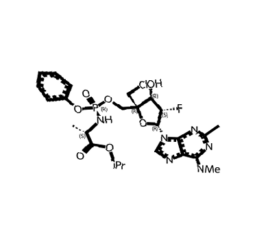 CNc1nc(C)nc2c1ncn2[C@@H]1O[C@](CCl)(CO[P@](=O)(N[C@@H](C)C(=O)OC(C)C)Oc2ccccc2)[C@@H](O)[C@@H]1F